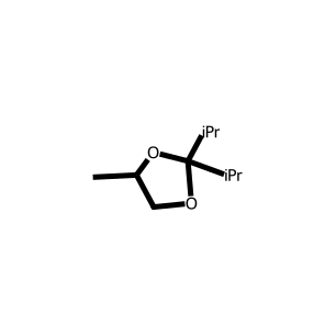 CC1COC(C(C)C)(C(C)C)O1